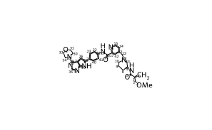 C=C(COC)C(=O)N[C@@H]1CCCN(Cc2ccnc(C(=O)Nc3ccc(-c4cc5c(N6CCOCC6)ncnc5[nH]4)cc3)c2)C1